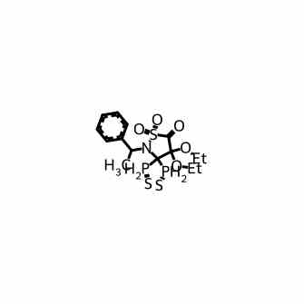 CCOC1(OCC)C(=O)S(=O)(=O)N(C(C)c2ccccc2)C1([PH2]=S)[PH2]=S